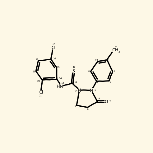 Cc1ccc(N2C(=O)CCN2C(=S)Nc2cc(Cl)ccc2Cl)cc1